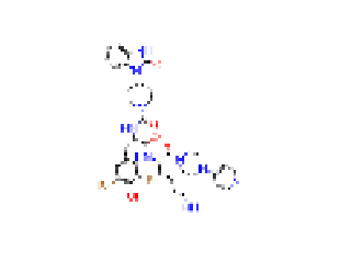 NCCCC[C@@H](NC(=O)[C@H](Cc1cc(Br)c(O)c(Br)c1)NC(=O)N1CCC(n2c(=O)[nH]c3ccccc32)CC1)C(=O)N1CCN(c2ccncc2)CC1